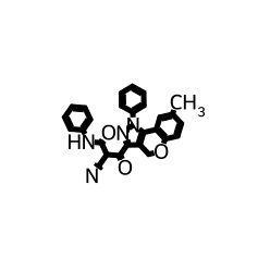 Cc1ccc2c(c1)-c1c(c(C(=O)C(C#N)C(=O)Nc3ccccc3)nn1-c1ccccc1)CO2